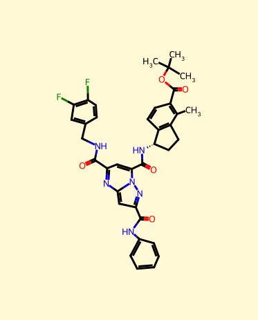 Cc1c(C(=O)OC(C)(C)C)ccc2c1CC[C@@H]2NC(=O)c1cc(C(=O)NCc2ccc(F)c(F)c2)nc2cc(C(=O)Nc3ccccc3)nn12